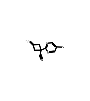 C=C1CC(C#N)(c2ncc(Br)cn2)C1